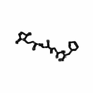 O=[C][C@H](Cc1ccccc1)NC(=O)CNC(=O)CNC(=O)CCN1C(=O)C=CC1=O